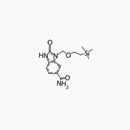 C[Si](C)(C)CCOCn1c(=O)[nH]c2ccc(C(N)=O)cc21